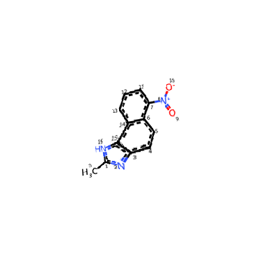 Cc1nc2ccc3c([N+](=O)[O-])cccc3c2[nH]1